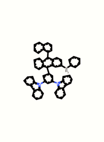 c1ccc([SiH2]c2ccc3c(-c4cccc5ccccc45)c4ccccc4c(-c4cc(-n5c6ccccc6c6ccccc65)cc(-n5c6ccccc6c6ccccc65)c4)c3c2)cc1